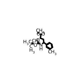 COC(=O)CCC(NC(=O)OC(C)(C)C)c1cccc(C)c1